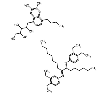 CCCCCCCCC(=Nc1ccc(CC)c(CC)c1)C(CCCCCC)=Nc1ccc(CC)c(CC)c1.CCCCc1ccc(CC(O)C(O)C(O)CO)c2cc(O)c(O)cc12